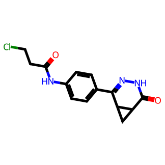 O=C(CCCl)Nc1ccc(C2=NNC(=O)C3CC23)cc1